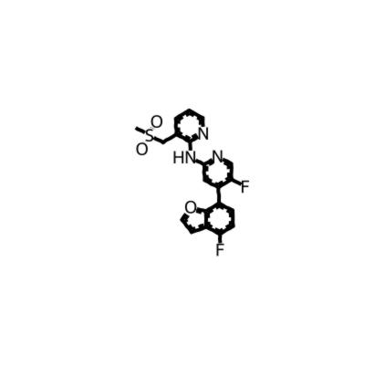 CS(=O)(=O)Cc1cccnc1Nc1cc(-c2ccc(F)c3ccoc23)c(F)cn1